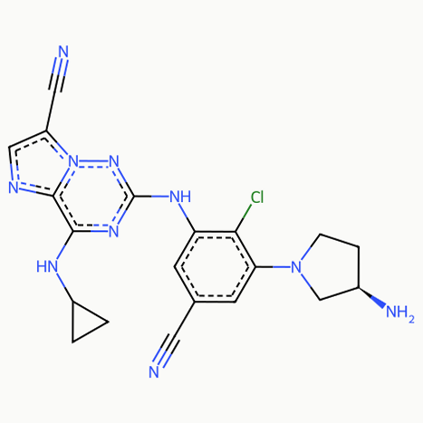 N#Cc1cc(Nc2nc(NC3CC3)c3ncc(C#N)n3n2)c(Cl)c(N2CC[C@@H](N)C2)c1